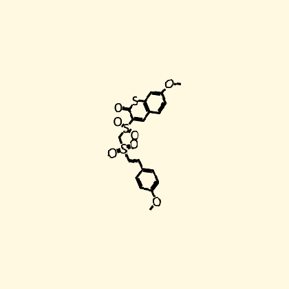 COc1ccc(C=CS(=O)(=O)CS(=O)(=O)c2cc3ccc(OC)cc3sc2=O)cc1